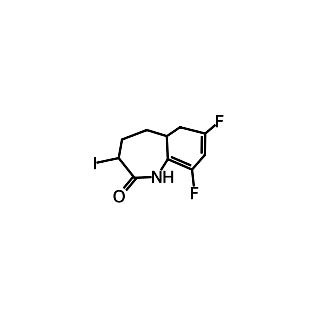 O=C1NC2=C(F)C=C(F)CC2CCC1I